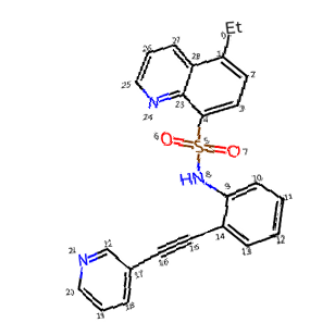 CCc1ccc(S(=O)(=O)Nc2ccccc2C#Cc2cccnc2)c2ncccc12